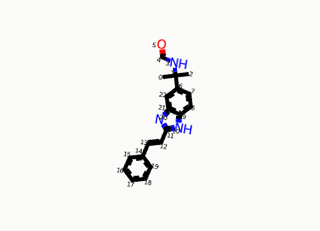 CC(C)(NC=O)c1ccc2[nH]c(C=Cc3ccccc3)nc2c1